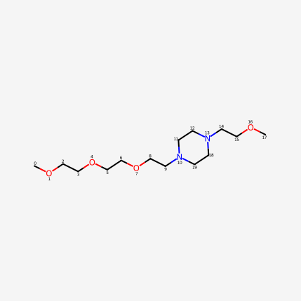 COCCOCCOCCN1CCN(CCOC)CC1